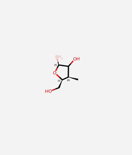 B[C@@H]1O[C@H](CO)[C@H](C)C1O